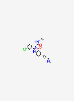 CC(C)NC(=O)Cn1c(-c2cccc(Cl)c2)nc2ccc([C@H]3C[C@H](CN(C)C)C3)cc2c1=O